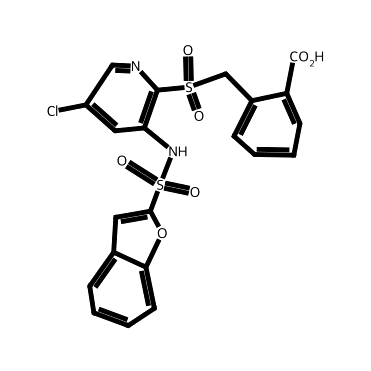 O=C(O)c1ccccc1CS(=O)(=O)c1ncc(Cl)cc1NS(=O)(=O)c1cc2ccccc2o1